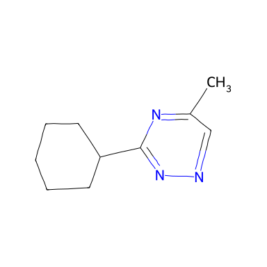 Cc1cnnc(C2CCCCC2)n1